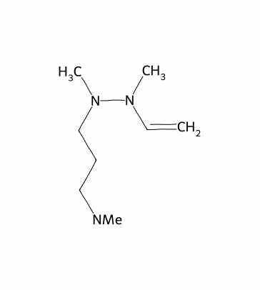 C=CN(C)N(C)CCCNC